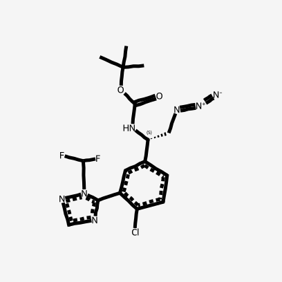 CC(C)(C)OC(=O)N[C@H](CN=[N+]=[N-])c1ccc(Cl)c(-c2ncnn2C(F)F)c1